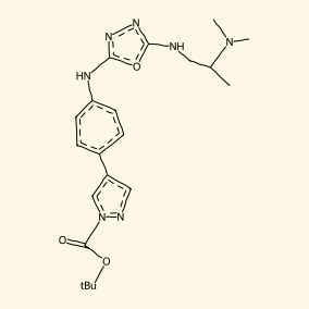 CC(CNc1nnc(Nc2ccc(-c3cnn(C(=O)OC(C)(C)C)c3)cc2)o1)N(C)C